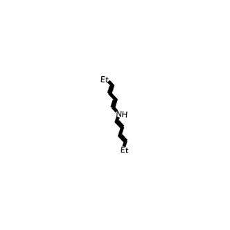 CCC=CC=CNC=CC=CCC